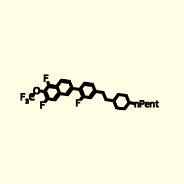 CCCCCC1CCC(CCc2ccc(-c3ccc4c(F)c(OC(F)(F)F)c(F)cc4c3)c(F)c2)CC1